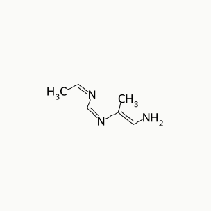 C\C=N/C=N\C(C)=C\N